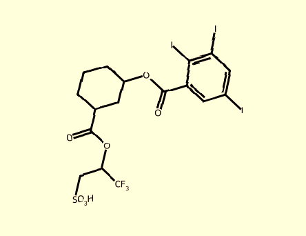 O=C(OC1CCCC(C(=O)OC(CS(=O)(=O)O)C(F)(F)F)C1)c1cc(I)cc(I)c1I